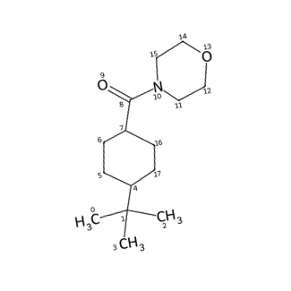 CC(C)(C)C1CCC(C(=O)N2CCOCC2)CC1